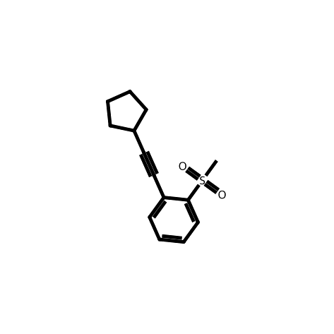 CS(=O)(=O)c1ccccc1C#CC1CCCC1